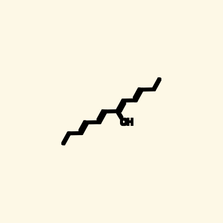 CCC=CC=CC(O)=CC=CCC